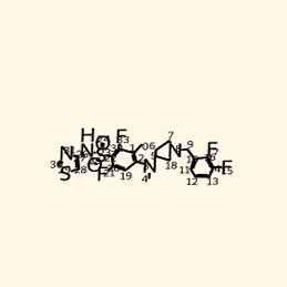 Cc1c(N(C)C2CCN(Cc3cccc(F)c3F)C2)cc(F)c(S(=O)(=O)Nc2cscn2)c1F